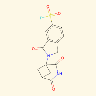 O=C1NC(=O)C2(N3Cc4ccc(S(=O)(=O)F)cc4C3=O)CC1C2